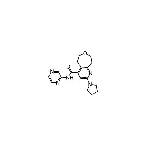 O=C(Nc1cnccn1)c1cc(N2CCCC2)nc2c1CCOCC2